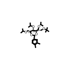 Cc1ccc(C2O[C@H]([C@@H](COC(C)(C)C)OC(C)C)[C@H](OC(C)C)[C@H](COC(C)C)O2)cc1C